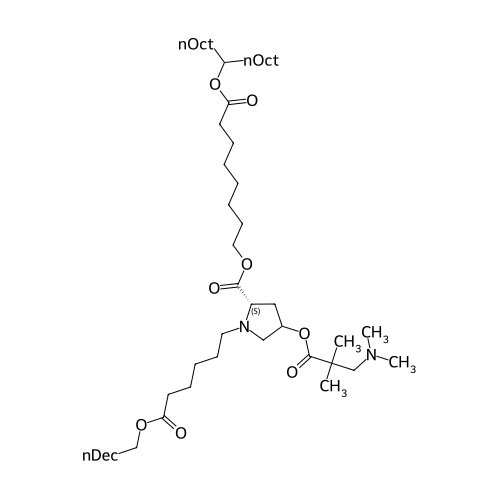 CCCCCCCCCCCOC(=O)CCCCCN1CC(OC(=O)C(C)(C)CN(C)C)C[C@H]1C(=O)OCCCCCCCC(=O)OC(CCCCCCCC)CCCCCCCC